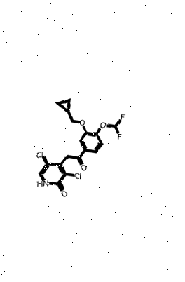 O=C(Cc1c(Cl)c[nH]c(=O)c1Cl)c1ccc(OC(F)F)c(OCC2CC2)c1